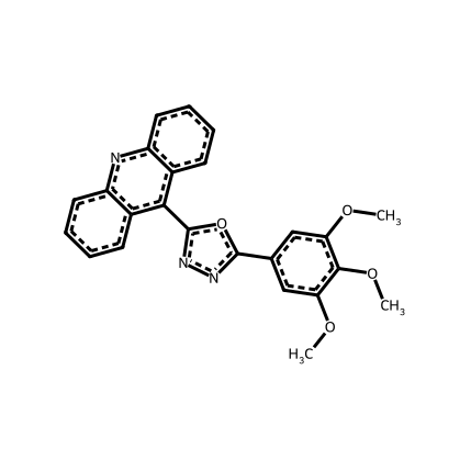 COc1cc(-c2nnc(-c3c4ccccc4nc4ccccc34)o2)cc(OC)c1OC